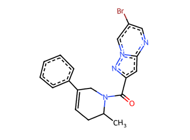 CC1CC=C(c2ccccc2)CN1C(=O)c1cc2ncc(Br)cn2n1